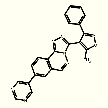 Cc1onc(-c2ccccc2)c1-c1nnc2c3ccc(-c4cncnc4)cc3cnn12